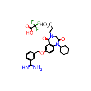 N=C(N)c1cccc(COc2ccc3c(c2)C(=O)N(CCC(=O)O)CC(=O)N3C2CCCCC2)c1.O=C(O)C(F)(F)F